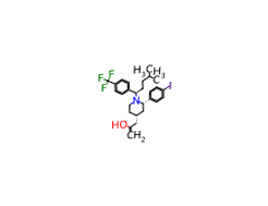 C=C(O)C[C@@H]1CCN([C@H](CCC(C)C)c2ccc(C(F)(F)F)cc2)[C@H](c2ccc(I)cc2)C1